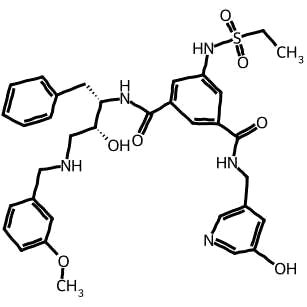 CCS(=O)(=O)Nc1cc(C(=O)NCc2cncc(O)c2)cc(C(=O)N[C@@H](Cc2ccccc2)[C@H](O)CNCc2cccc(OC)c2)c1